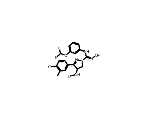 CCNC1CN(/C(=N/C#N)Nc2cccc(OC(F)F)c2)N=C1c1ccc(Cl)c(C)c1